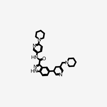 O=C(Nc1ccc(N2CCCCC2)nc1)c1n[nH]c2ccc(C3C=NC=C(CN4CCCCC4)C3)cc12